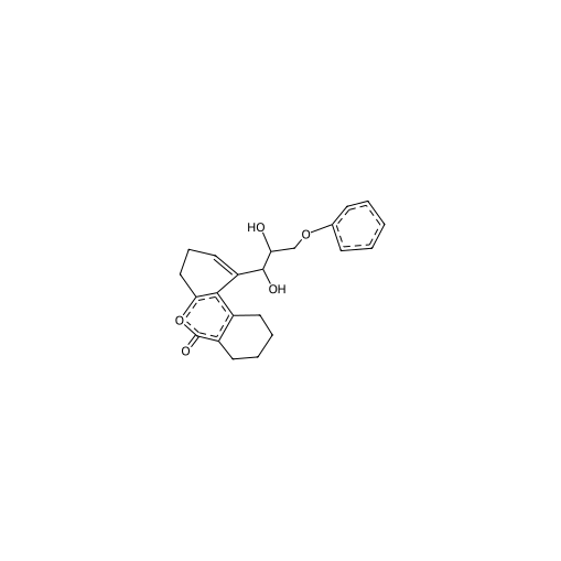 O=c1oc2c(c3c1CCCC3)C(C(O)C(O)COc1ccccc1)=CCC2